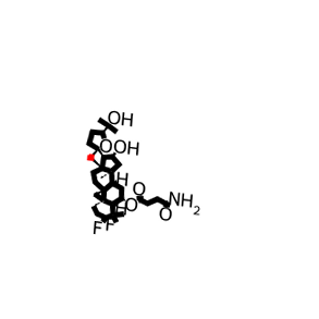 CC(C)(O)[C@@H]1CC[C@@](C)([C@H]2[C@@H](O)C[C@@]3(C)[C@@H]4C[C@H](OC(=O)CCC(N)=O)[C@H]5C(C)(C)C(F)(F)CC[C@@]56C[C@@]46CC[C@]23C)O1